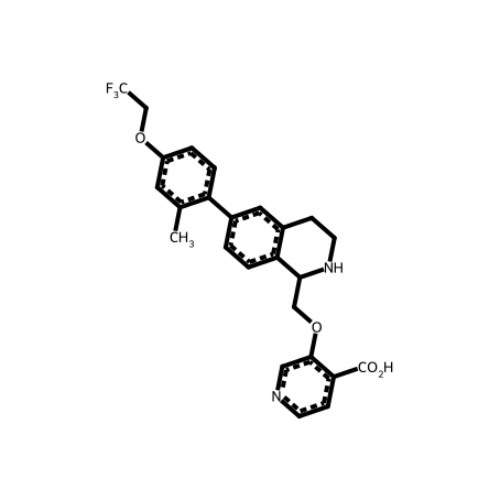 Cc1cc(OCC(F)(F)F)ccc1-c1ccc2c(c1)CCNC2COc1cnccc1C(=O)O